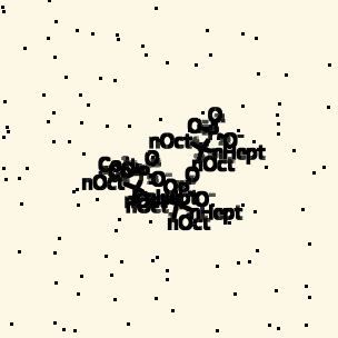 CCCCCCCCC(CCCCCCC)(CCCCCCCC)P(=O)([O-])[O-].CCCCCCCCC(CCCCCCC)(CCCCCCCC)P(=O)([O-])[O-].CCCCCCCCC(CCCCCCC)(CCCCCCCC)P(=O)([O-])[O-].[Co+3].[Co+3]